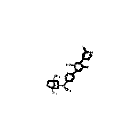 CN(c1ccc(-c2cc(F)c(-c3cc[nH]c(=O)c3)cc2O)nn1)[C@H]1C[C@]2(C)CC[C@](C)(C1)C2